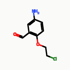 Nc1ccc(OCCCl)c(C=O)c1